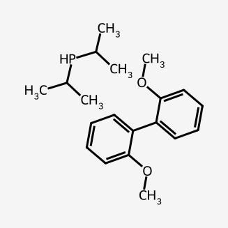 CC(C)PC(C)C.COc1ccccc1-c1ccccc1OC